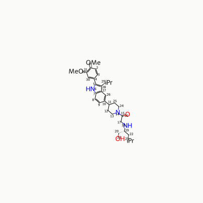 COc1ccc(-c2[nH]c3ccc(C4CCN(C(=O)CN[C@@H](CO)CC(C)C)CC4)cc3c2C(C)C)cc1OC